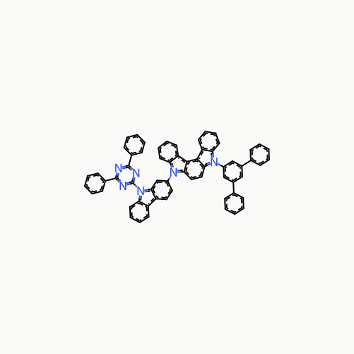 c1ccc(-c2cc(-c3ccccc3)cc(-n3c4ccccc4c4c5c6ccccc6n(-c6ccc7c8ccccc8n(-c8nc(-c9ccccc9)nc(-c9ccccc9)n8)c7c6)c5ccc43)c2)cc1